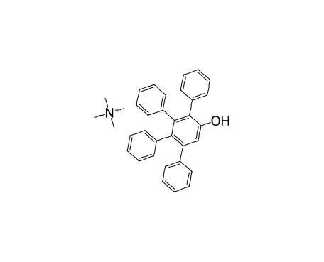 C[N+](C)(C)C.Oc1cc(-c2ccccc2)c(-c2ccccc2)c(-c2ccccc2)c1-c1ccccc1